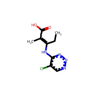 CC/C(Nc1nnncc1Cl)=C(/C)C(=O)O